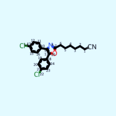 N#CCCCCCCc1nc(-c2ccc(Cl)cc2)c(-c2ccc(Cl)cc2)o1